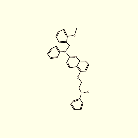 COc1ccccc1CN(c1ccccc1)c1ccc2c(OCC[S+]([O-])c3ccccc3)cccc2n1